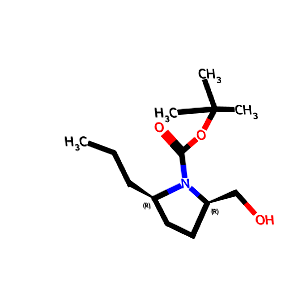 CCC[C@@H]1CC[C@H](CO)N1C(=O)OC(C)(C)C